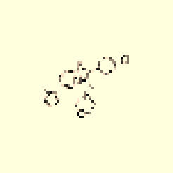 Clc1ccc(-c2nc3ccc(-c4cccs4)cn3c2CN2CCOCC2)cc1